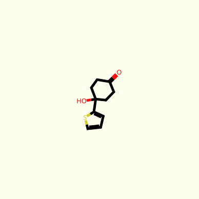 O=C1CCC(O)(c2cccs2)CC1